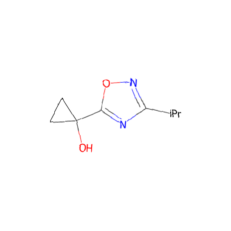 CC(C)c1noc(C2(O)CC2)n1